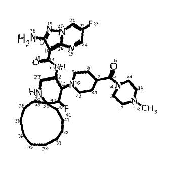 CN1CCN(C(=O)C2CCN(C3C(NC(=O)c4c(N)nn5cc(F)cnc45)CNC4(CCCCCCCCCC4)C3F)CC2)CC1